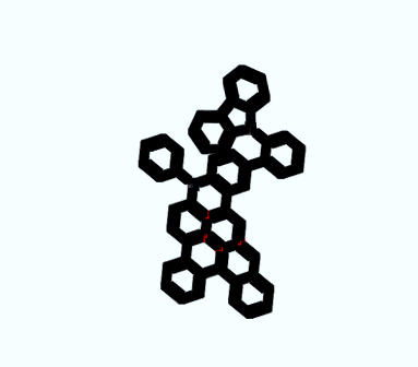 c1ccc(-c2cc(-c3ccccc3-n3c4ccccc4c4ccccc43)ccc2N(c2ccccc2)c2ccc(-c3ccccc3-c3cccc4ccccc34)cc2)cc1